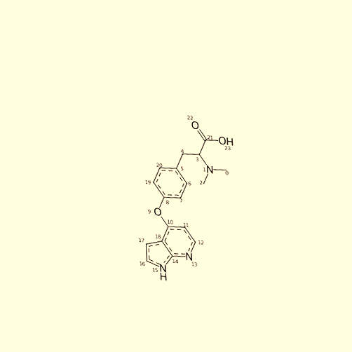 CN(C)C(Cc1ccc(Oc2ccnc3[nH]ccc23)cc1)C(=O)O